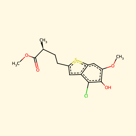 COC(=O)[C@@H](C)CCc1cc2c(Cl)c(O)c(OC)cc2s1